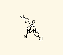 N#CCCCn1c(Cn2c(=O)n(-c3ccc(Cl)cc3)c3ccncc32)cc2cc(Cl)ccc21